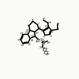 CCC1=CCC(C2CCCC3C4C=CC=CC4[CH]([Zr+2]=[Si](C)C)C23)=C1CC.[Cl-].[Cl-]